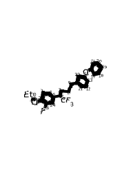 CCOc1ccc(C(CCCc2cccc(Oc3ccccc3)c2)C(F)(F)F)cc1F